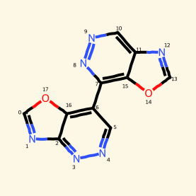 [c]1nc2nncc(-c3nncc4ncoc34)c2o1